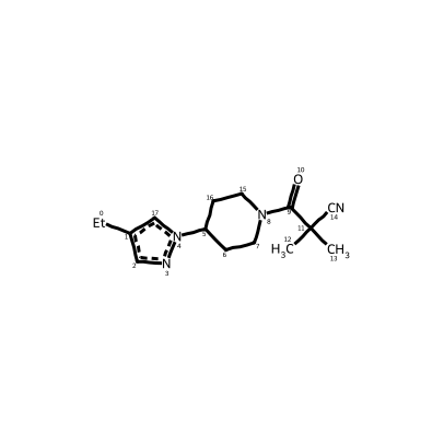 CCc1cnn(C2CCN(C(=O)C(C)(C)C#N)CC2)c1